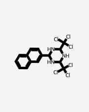 ClC(Cl)(Cl)C1NC(c2ccc3ccccc3c2)NC(C(Cl)(Cl)Cl)N1